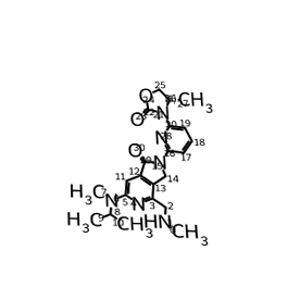 CNCc1nc(N(C)C(C)C)cc2c1CN(c1cccc(N3C(=O)OC[C@@H]3C)n1)C2=O